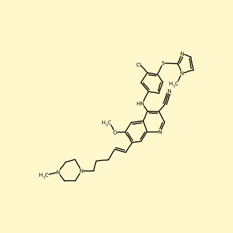 COc1cc2c(Nc3ccc(Sc4nccn4C)c(Cl)c3)c(C#N)cnc2cc1C=CCCCN1CCN(C)CC1